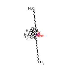 CCCCCCCCCCCCCCCCCCC(CCCCCCCCCCCCCCCCCC)(O[PH](=O)O)c1cc(C(C)(C)C)cc(C(C)(C)C)c1